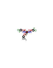 Cc1ccc(OC(=S)O[C@@H]2CC3(NC(=O)COc4ccc(Cl)c(F)c4)CCC2(NC(=O)COc2ccc(Cl)c(F)c2)CC3)cc1